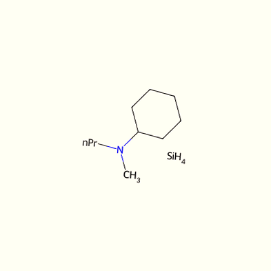 CCCN(C)C1CCCCC1.[SiH4]